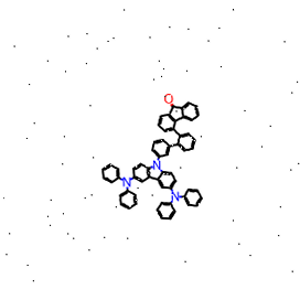 O=C1c2ccccc2-c2c1cccc2-c1ccccc1-c1cccc(-n2c3ccc(N(c4ccccc4)c4ccccc4)cc3c3cc(N(c4ccccc4)c4ccccc4)ccc32)c1